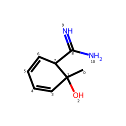 CC1(O)C=CC=CC1C(=N)N